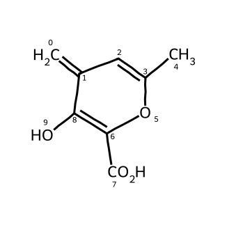 C=C1C=C(C)OC(C(=O)O)=C1O